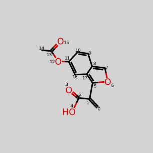 C=C(C(=O)O)c1occ2ccc(OC(C)=O)cc12